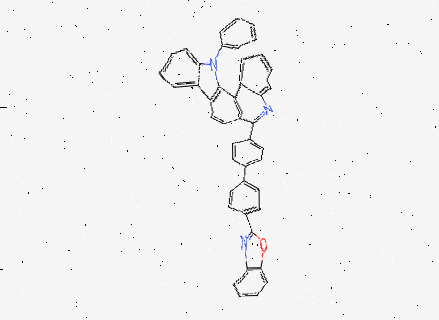 c1ccc(-n2c3ccccc3c3ccc4c(-c5ccc(-c6ccc(-c7nc8ccccc8o7)cc6)cc5)nc5ccccc5c4c32)cc1